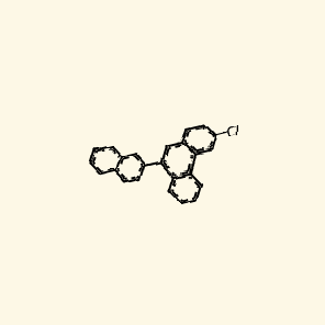 Clc1ccc2cc(-c3ccc4ccccc4c3)c3ccccc3c2c1